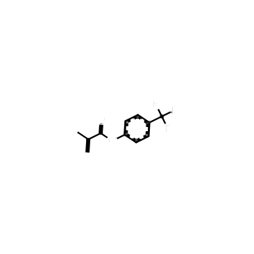 C=C(C)C(=O)Oc1ccc(C(F)(F)F)cc1